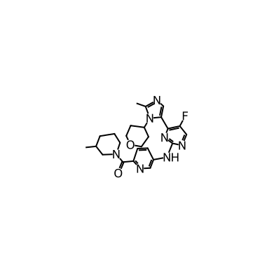 Cc1ncc(-c2nc(Nc3ccc(C(=O)N4CCCC(C)C4)nc3)ncc2F)n1C1CCOCC1